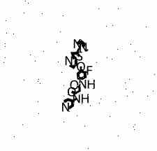 Cn1ccnc1-c1cc2nccc(Oc3ccc(NC(=O)CC(=O)Nc4ccncc4)cc3F)c2s1